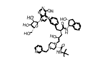 CC(C)(C)NC(=O)[C@@H]1CN(Cc2cccnc2)CCN1C[C@@H](O)C[C@@H](Cc1ccccc1)C(=O)N[C@H]1c2ccccc2C[C@H]1O.OC[C@H]1O[C@@H](n2cnc3c(O)ncnc32)[C@H](O)[C@@H]1O